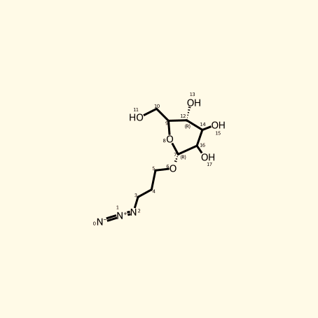 [N-]=[N+]=NCCCO[C@@H]1OC(CO)[C@H](O)C(O)C1O